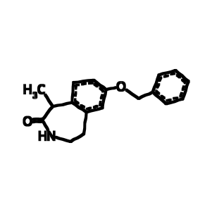 CC1C(=O)NCCc2cc(OCc3ccccc3)ccc21